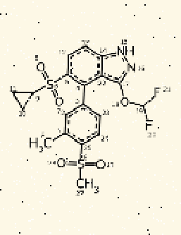 Cc1cc(-c2c(S(=O)(=O)C3CC3)ccc3[nH]nc(OC(F)F)c23)ccc1S(C)(=O)=O